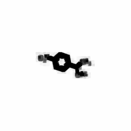 CC(=O)O[C@H](C)c1ccc([N+](=O)[O-])cc1